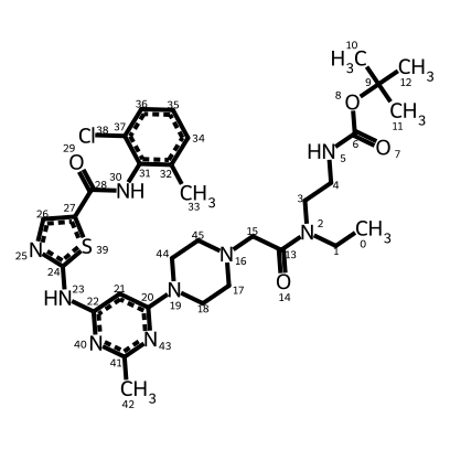 CCN(CCNC(=O)OC(C)(C)C)C(=O)CN1CCN(c2cc(Nc3ncc(C(=O)Nc4c(C)cccc4Cl)s3)nc(C)n2)CC1